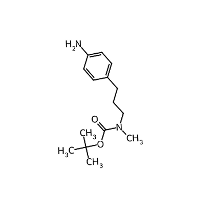 CN(CCCc1ccc(N)cc1)C(=O)OC(C)(C)C